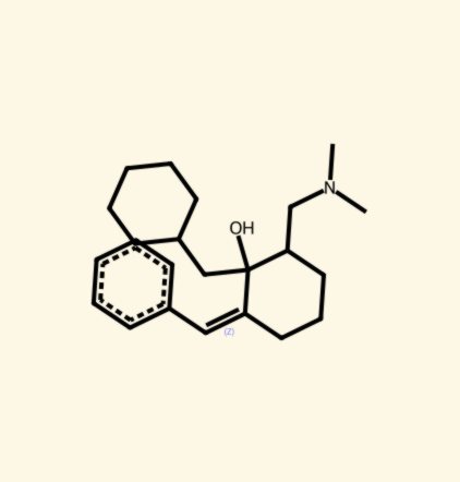 CN(C)CC1CCC/C(=C/c2ccccc2)C1(O)CC1CCCCC1